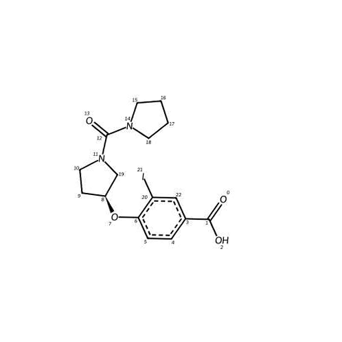 O=C(O)c1ccc(O[C@H]2CCN(C(=O)N3CCCC3)C2)c(I)c1